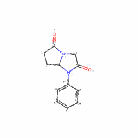 O=C1CCC2N1CC(=O)N2c1ccccc1